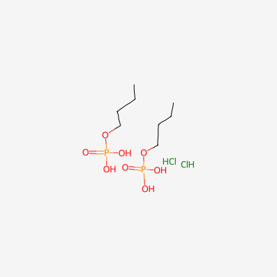 CCCCOP(=O)(O)O.CCCCOP(=O)(O)O.Cl.Cl